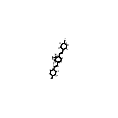 CC1CCC(/C=C/C2=CC=C(/C=C/C3CCC(C)CC3)C(F)(F)C2(F)F)CC1